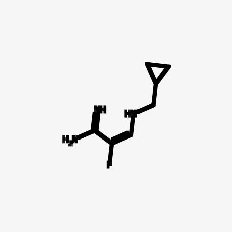 N=C(N)/C(F)=C\NCC1CC1